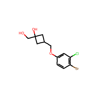 OCC1(O)CC(COc2ccc(Br)c(Cl)c2)C1